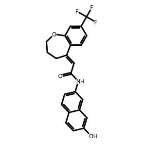 O=C(/C=C1\CCCOc2cc(C(F)(F)F)ccc21)Nc1ccc2ccc(O)cc2c1